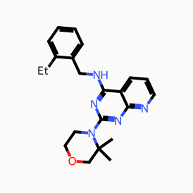 CCc1ccccc1CNc1nc(N2CCOCC2(C)C)nc2ncccc12